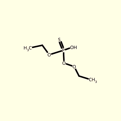 CCOOP(O)(=S)OCC